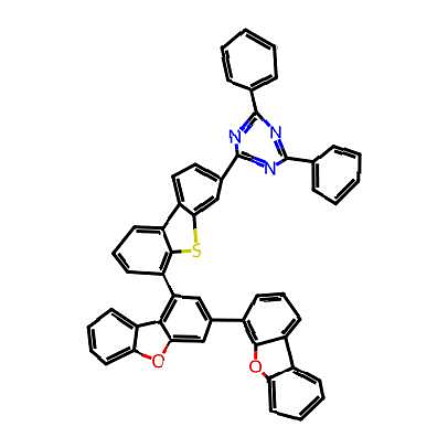 c1ccc(-c2nc(-c3ccccc3)nc(-c3ccc4c(c3)sc3c(-c5cc(-c6cccc7c6oc6ccccc67)cc6oc7ccccc7c56)cccc34)n2)cc1